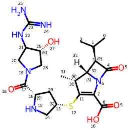 CC(C)[C@H]1C(=O)N2C(C(=O)O)=C(S[C@@H]3CN[C@H](C(=O)N4CC(NC(=N)N)[C@H](O)C4)C3)[C@H](C)[C@H]12